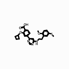 COc1ccc(SC)cc1CCNc1cc(-c2ccc(C(=O)O)c(OC3CCC3)c2)ncn1